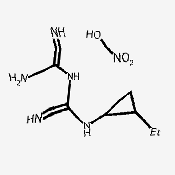 CCC1CC1NC(=N)NC(=N)N.O=[N+]([O-])O